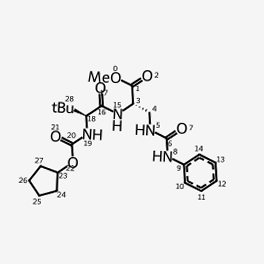 COC(=O)[C@H](CNC(=O)Nc1ccccc1)NC(=O)[C@@H](NC(=O)OC1CCCC1)C(C)(C)C